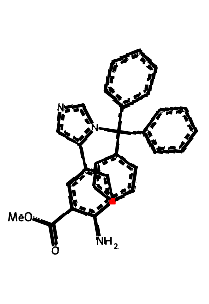 COC(=O)c1cc(-c2cncn2C(c2ccccc2)(c2ccccc2)c2ccccc2)ccc1N